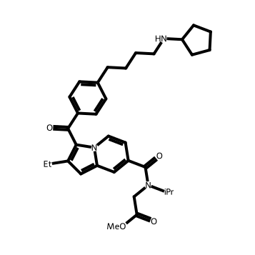 CCc1cc2cc(C(=O)N(CC(=O)OC)C(C)C)ccn2c1C(=O)c1ccc(CCCCNC2CCCC2)cc1